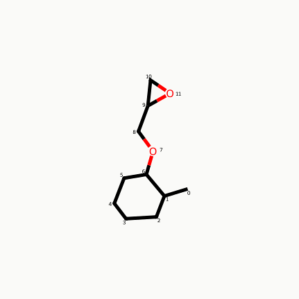 CC1CCCCC1OCC1CO1